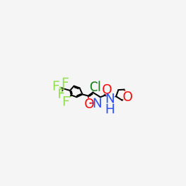 O=C(N[C@@H]1CCOC1)c1noc(-c2ccc(C(F)(F)F)c(F)c2)c1Cl